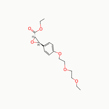 CCOCCOCCOc1ccc([C@H]2O[C@@H]2C(=O)OCC)cc1